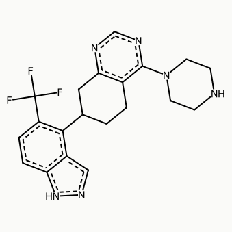 FC(F)(F)c1ccc2[nH]ncc2c1C1CCc2c(ncnc2N2CCNCC2)C1